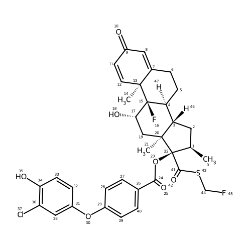 C[C@@H]1C[C@H]2[C@@H]3CCC4=CC(=O)C=C[C@]4(C)[C@@]3(F)[C@@H](O)C[C@]2(C)[C@@]1(OC(=O)c1ccc(Oc2ccc(O)c(Cl)c2)cc1)C(=O)SCF